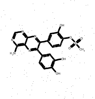 CS(=O)(=O)Oc1ccc(-c2nc3ncnc(N)c3nc2-c2ccc(O)c(O)c2)cc1O